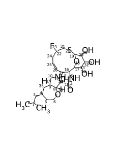 CC(C)C[C@@H]1CCO[C@@H]2[C@H](CN[C@@H]2C(=O)N[C@H]2C3OC(SCC(F)C/C=C\[C@H]2C)C(O)C(O)C3O)C1